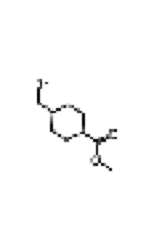 COC(=O)C1CCC(CBr)CC1